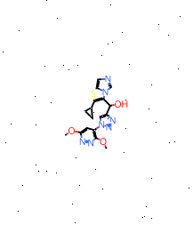 COc1cc(-n2cc(C(O)c3c(C4CC4)sc4cncn34)nn2)c(OC)nn1